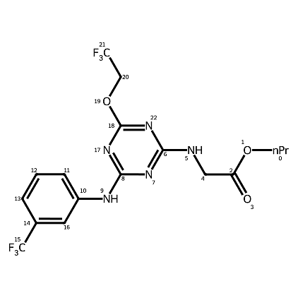 CCCOC(=O)CNc1nc(Nc2cccc(C(F)(F)F)c2)nc(OCC(F)(F)F)n1